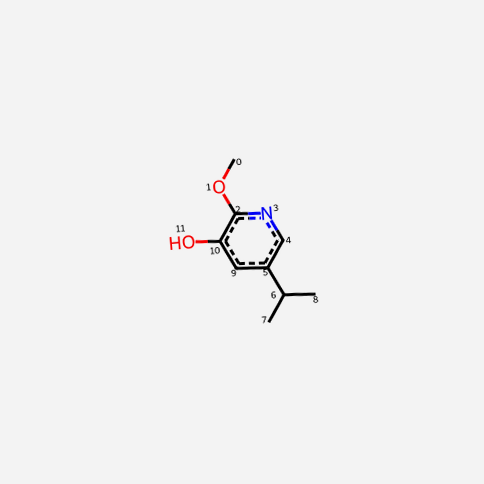 COc1ncc(C(C)C)cc1O